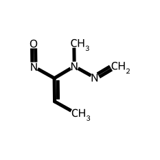 C=NN(C)/C(=C\C)N=O